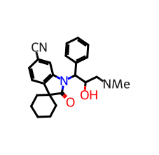 CNCC(O)C(c1ccccc1)N1C(=O)C2(CCCCC2)c2ccc(C#N)cc21